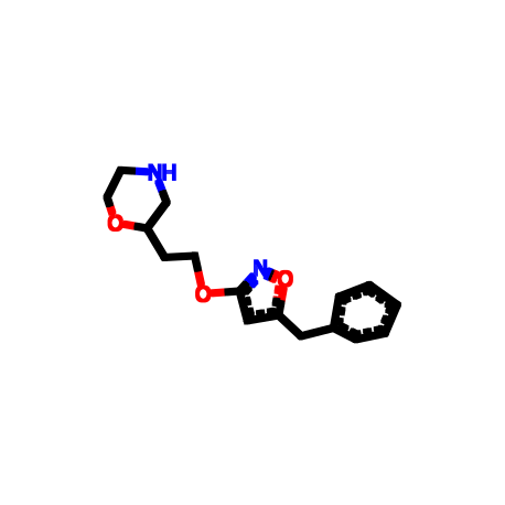 c1ccc(Cc2cc(OCCC3CNCCO3)no2)cc1